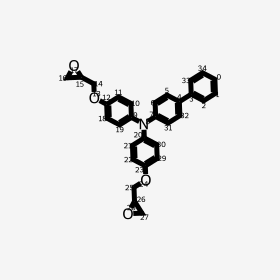 c1ccc(-c2ccc(N(c3ccc(OCC4CO4)cc3)c3ccc(OCC4CO4)cc3)cc2)cc1